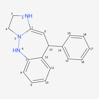 C1=C2NCCN2Nc2ccccc2C1c1ccccc1